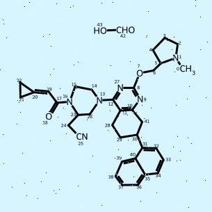 CN1CCCC1COc1nc2c(c(N3CCN(C(=O)C=C4CC4)C(CC#N)C3)n1)CCC(c1cccc3ccccc13)C2.O=CO